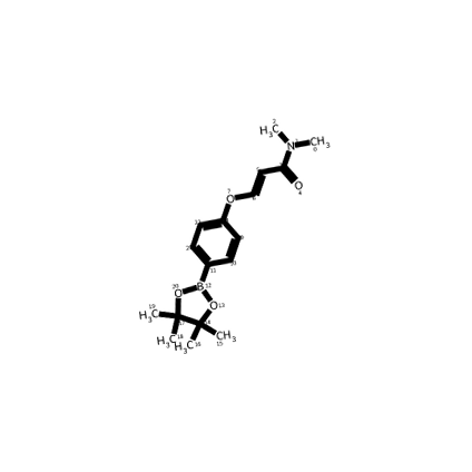 CN(C)C(=O)C=COc1ccc(B2OC(C)(C)C(C)(C)O2)cc1